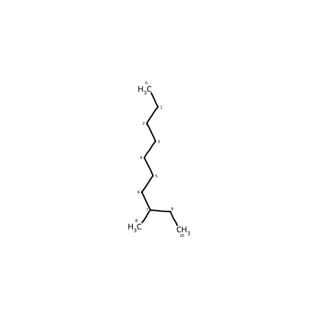 CC[CH]CCCCC(C)CC